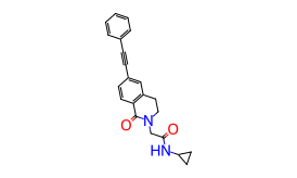 O=C(CN1CCc2cc(C#Cc3ccccc3)ccc2C1=O)NC1CC1